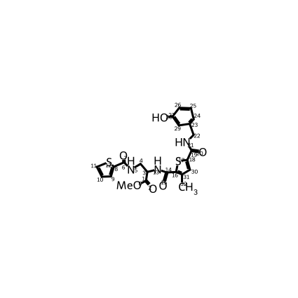 COC(=O)C(CNC(=O)c1cccs1)NC(=O)c1sc(C(=O)NCc2cccc(O)c2)cc1C